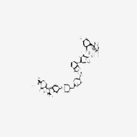 C[C@@H](Oc1cc(-c2cccc3c2CN(CC2CCN(CC4CCN(c5ccc6c(c5)n(C)c(=O)n6C5CCC(=O)NC5=O)CC4)CC2)C3)cnc1N)c1cc(F)ccc1-n1nccn1